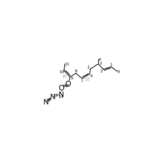 CC=CC(C)C/C=C\C/C(=C\C)OON=[N+]=[N-]